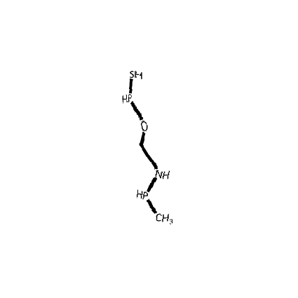 CPNCOPS